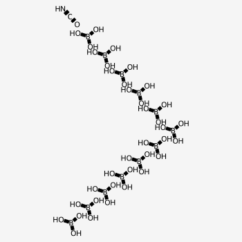 N=C=O.OB(O)O.OB(O)O.OB(O)O.OB(O)O.OB(O)O.OB(O)O.OB(O)O.OB(O)O.OB(O)O.OB(O)O.OB(O)O.OB(O)O